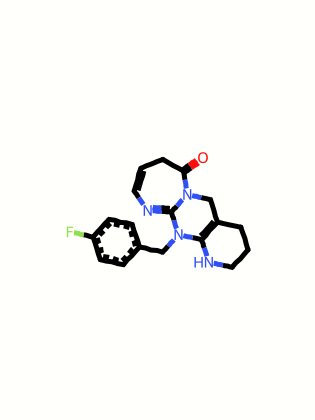 O=C1CC=CN=C2N1CC1=C(NCCC1)N2Cc1ccc(F)cc1